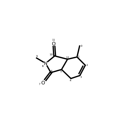 CC1C=CCC2C(=O)N(C)C(=O)C12